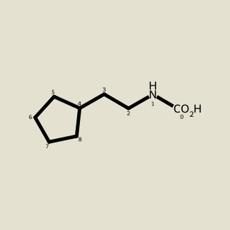 O=C(O)NCCC1CCCC1